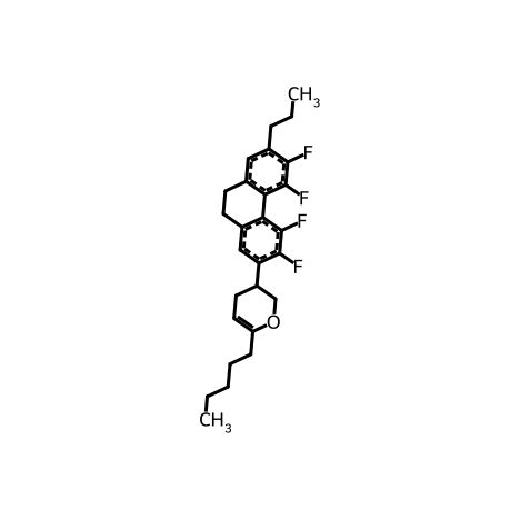 CCCCCC1=CCC(c2cc3c(c(F)c2F)-c2c(cc(CCC)c(F)c2F)CC3)CO1